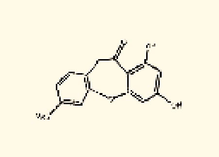 CSc1ccc2c(c1)Sc1cc(O)cc(O)c1C(=O)C2